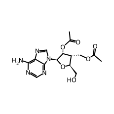 CC(=O)OC[C@H]1[C@@H](OC(C)=O)[C@H](n2cnc3c(N)ncnc32)O[C@@H]1CO